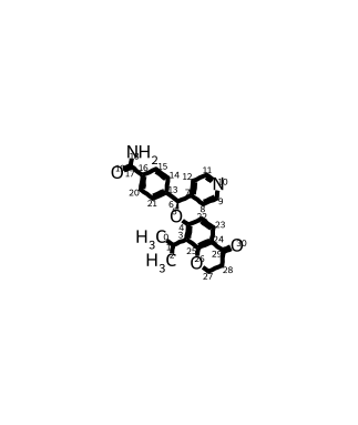 CC(C)c1c(O[C@H](c2ccncc2)c2ccc(C(N)=O)cc2)ccc2c1OCCC2=O